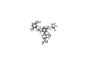 C=CC(=O)N1CCN(c2nc(OC[C@@H]3CCCN3C)nc3c2CN(Cc2cc(O)ccc2Cl)C3)C2COCC21